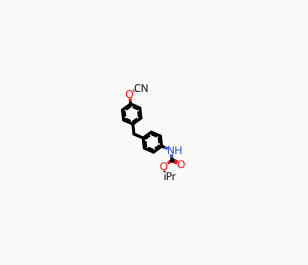 CC(C)OC(=O)Nc1ccc(Cc2ccc(OC#N)cc2)cc1